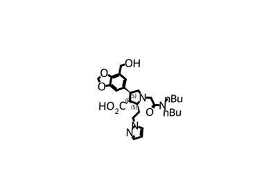 CCCCN(CCCC)C(=O)CN1C[C@H](c2cc(CO)c3c(c2)OCO3)[C@@H](C(=O)O)[C@@H]1CCn1cccn1